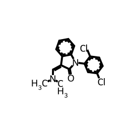 CN(C)/C=C1\C(=O)N(c2cc(Cl)ccc2Cl)c2ccccc21